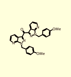 COc1ccc(Cn2nc(C(=O)c3nn(Cc4ccc(OC)cc4)c4ncccc34)c3cccnc32)cc1